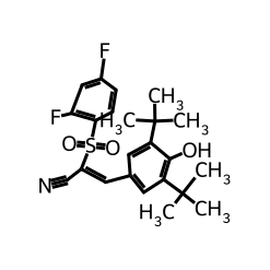 CC(C)(C)c1cc(C=C(C#N)S(=O)(=O)c2ccc(F)cc2F)cc(C(C)(C)C)c1O